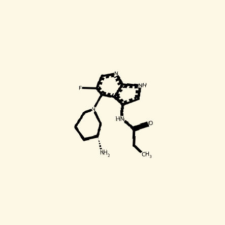 CCC(=O)Nc1c[nH]c2ncc(F)c(N3CCC[C@@H](N)C3)c12